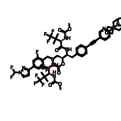 COC(=O)N[C@H](C(=O)N[C@@H](Cc1ccc(C#Cc2ccc(N3CC4CCC(C3)N4C3COC3)nc2)cc1)[C@H](CN(Cc1c(F)cc(-c2ccn(C(F)F)n2)cc1F)NC(=O)[C@@H](NC(=O)OC)C(C)(C)C(F)(F)F)OC(=O)OCCl)C(C)(C)C(F)(F)F